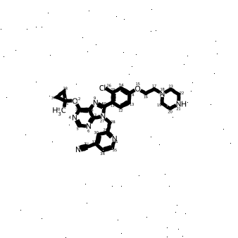 CC1(Oc2ncnc3c2nc(-c2ccc(OCCN4CCNCC4)cc2Cl)n3Cc2cc(C#N)ccn2)CC1